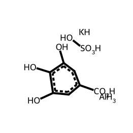 O=C(O)c1cc(O)c(O)c(O)c1.O=S(=O)(O)O.[AlH3].[KH]